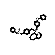 c1ccc(Oc2ccc(CN(Cc3ccc(CNCc4ccccn4)cc3)C3CCCCc4cccnc43)cc2)cc1